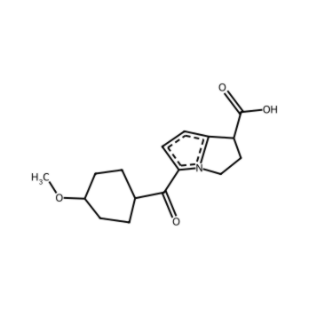 COC1CCC(C(=O)c2ccc3n2CCC3C(=O)O)CC1